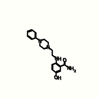 NC(=O)c1cc(O)ccc1NCCN1CCN(c2ccccc2)CC1